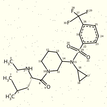 CCN[C@@H](CC(C)C)C(=O)N1CCCC(N(C2CC2)S(=O)(=O)c2cccc(C(F)(F)F)c2)C1